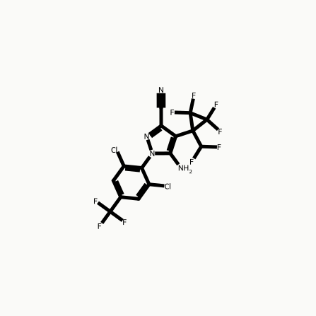 N#Cc1nn(-c2c(Cl)cc(C(F)(F)F)cc2Cl)c(N)c1C1(C(F)F)C(F)(F)C1(F)F